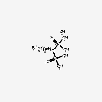 O=P(O)(O)OP(=O)(O)O.[KH].[KH].[NaH].[NaH]